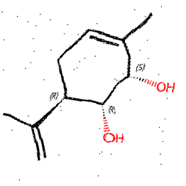 C=C(C)[C@H]1CC=C(C)[C@H](O)[C@@H]1O